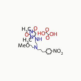 COCCN(CCCc1ccc([N+](=O)[O-])cc1)CCNc1cc(=O)n(C)c(=O)n1C.O=C(O)C(=O)O